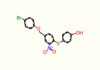 O=[N+]([O-])c1cc(COc2ccc(Br)cc2)ccc1Sc1ccc(O)cc1